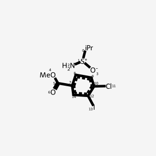 CC(C)[S+](N)[O-].COC(=O)c1ccc(Cl)c(I)c1